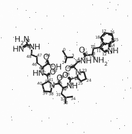 CC(C)C[C@H](NC(=O)[C@@H](N)Cc1c[nH]c2ccccc12)C(=O)N1CCC[C@H]1C(=O)N[C@@H](CC(C)C)C(=O)N1CCC[C@H]1C(=O)N[C@@H](CCCNC(=N)N)C(=O)O